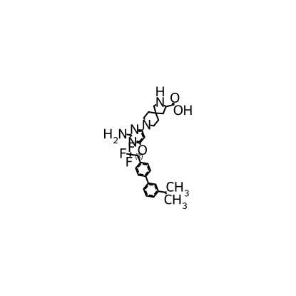 CC(C)c1cccc(-c2ccc([C@@H](Oc3cc(N4CCC5(CC4)CNC(C(=O)O)C5)nc(N)n3)C(F)(F)F)cc2)c1